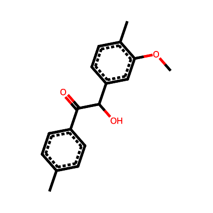 COc1cc(C(O)C(=O)c2ccc(C)cc2)ccc1C